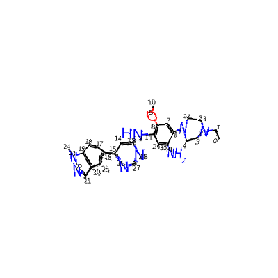 CCN1CCN(c2cc(OC)c(Nc3cc(-c4ccc5c(cnn5C)c4)ncn3)cc2N)CC1